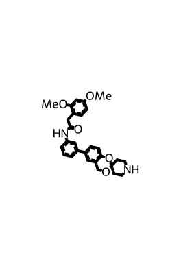 COc1ccc(CC(=O)Nc2cccc(-c3ccc4c(c3)COC3(CCNCC3)O4)c2)c(OC)c1